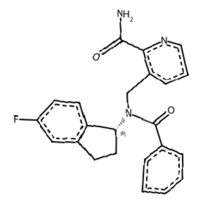 NC(=O)c1ncccc1CN(C(=O)c1ccccc1)[C@@H]1CCc2cc(F)ccc21